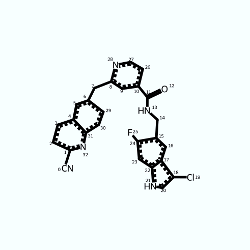 N#Cc1ccc2cc(Cc3cc(C(=O)NCc4cc5c(Cl)c[nH]c5cc4F)ccn3)ccc2n1